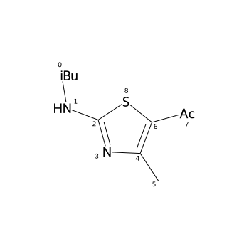 CCC(C)Nc1nc(C)c(C(C)=O)s1